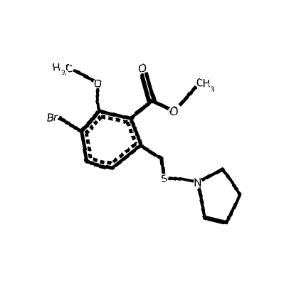 COC(=O)c1c(CSN2CCCC2)ccc(Br)c1OC